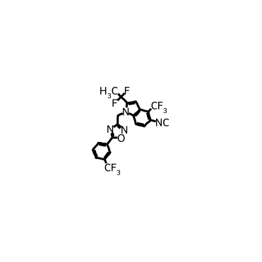 [C-]#[N+]c1ccc2c(cc(C(C)(F)F)n2Cc2noc(-c3cccc(C(F)(F)F)c3)n2)c1C(F)(F)F